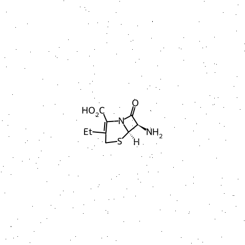 CCC1=C(C(=O)O)N2C(=O)[C@@H](N)[C@H]2SC1